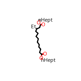 CCCCCCCOC(=O)CCCCCCCCCC(CC)CC(=O)OCCCCCCC